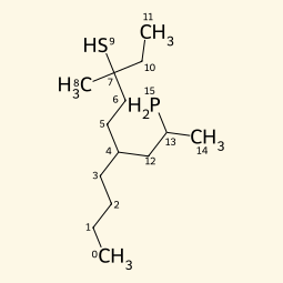 CCCCC(CCC(C)(S)CC)CC(C)P